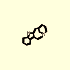 C1=CN2C=CC3=c4ccccc4=NC3=CC(=C1)C2